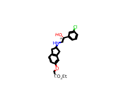 CCOC(=O)COc1ccc2c(c1)CC(NC[C@H](O)c1cccc(Cl)c1)C2